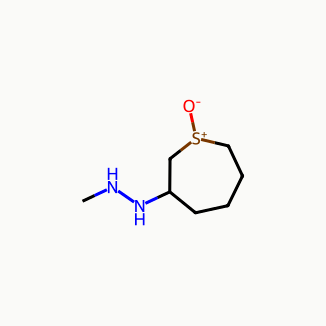 CNNC1CCCC[S+]([O-])C1